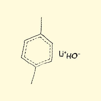 Cc1ccc(C)cc1.[Li+].[OH-]